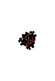 CC1=C(C)C(C)C([Si](c2c(N(C)C)cc(C)c(N(C)C)c2N(C)C)(c2c(N(C)C)cc(C)c(N(C)C)c2N(C)C)c2c(N(C)C)cc(C)c(N(C)C)c2N(C)C)=C1C